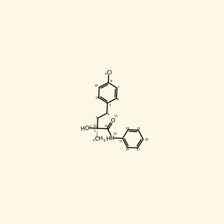 C[C@](O)(CCc1ccc(Cl)cc1)C(=O)Nc1ccccc1